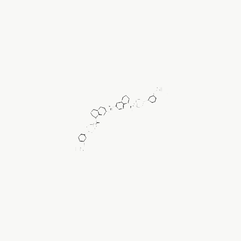 NCc1cccc(C2CCN(C(=O)c3cccc4cc(B5Oc6cc7cccc(C(=O)N8CCC(c9cccc(CN)c9)CC8)c7cc6O5)ccc34)CC2)c1